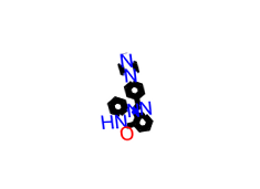 CN1CCN(c2ccc(-c3nc4cccc5c4n3-c3ccccc3NC5=O)cc2)CC1